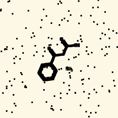 N.O=C(O)CC(=O)c1ccccc1